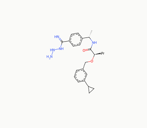 CC(C)[C@@H](OCc1cccc(C2CC2)c1)C(=O)N[C@@H](C)c1ccc(C(=N)NNN)cc1